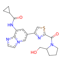 O=C(Nc1cc(-c2csc(C(=O)N3CCCC3CO)n2)cn2ccnc12)C1CC1